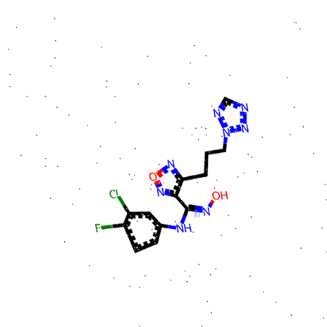 O/N=C(/Nc1ccc(F)c(Cl)c1)c1nonc1CCCn1ncnn1